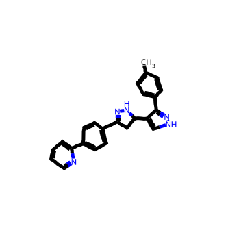 Cc1ccc(-c2n[nH]cc2C2CC(c3ccc(-c4ccccn4)cc3)=NN2)cc1